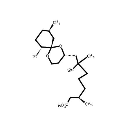 CC(C)[C@@H]1CC[C@@H](C)C[C@@]12OCC[C@@H](CC(C)(CCC[C@@H](C)CC(=O)O)C(C)(C)C)O2